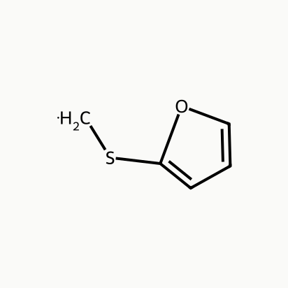 [CH2]Sc1ccco1